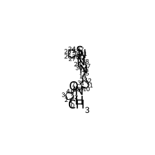 Cc1cccc(C(=O)Nc2cccc(CCN3CCN(c4nsc5ccccc45)CC3)c2)c1